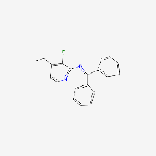 CCc1ccnc(N=C(c2ccccc2)c2ccccc2)c1F